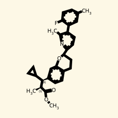 COC(=O)[C@@H](C)[C@H](c1ccc2c(c1)OC(c1ccc(-c3cc(C)ccc3F)c(C)n1)CC2)C1CC1